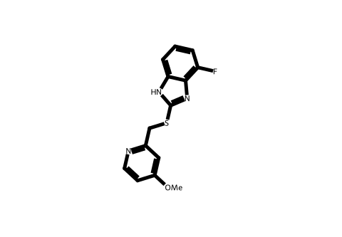 COc1ccnc(CSc2nc3c(F)cccc3[nH]2)c1